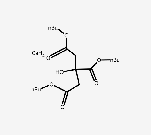 CCCCOC(=O)CC(O)(CC(=O)OCCCC)C(=O)OCCCC.[CaH2]